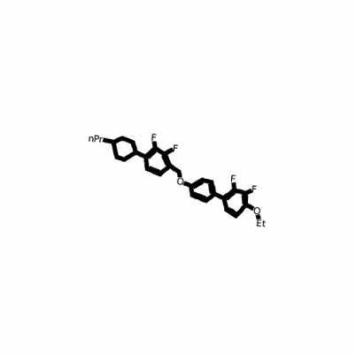 CCCC1CCC(c2ccc(COc3ccc(-c4ccc(OCC)c(F)c4F)cc3)c(F)c2F)CC1